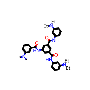 CCN(CC)c1cccc(NC(=O)c2cc(NC(=O)c3cccc(N(C)C)c3)cc(C(=O)Nc3cccc(N(CC)CC)c3)c2)c1